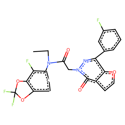 CCN(C(=O)Cn1nc(-c2cccc(F)c2)c2occc2c1=O)c1ccc2c(c1F)OC(F)(F)O2